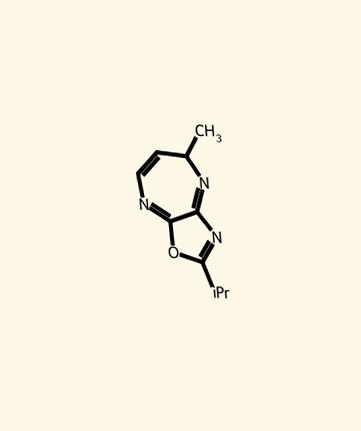 CC1C=CN=c2oc(C(C)C)nc2=N1